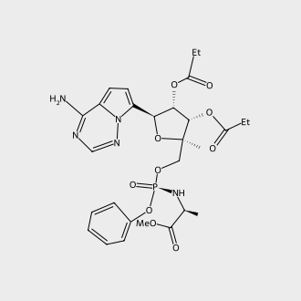 CCC(=O)O[C@H]1[C@H](c2ccc3c(N)ncnn23)O[C@](C)(CO[P@](=O)(N[C@@H](C)C(=O)OC)Oc2ccccc2)[C@H]1OC(=O)CC